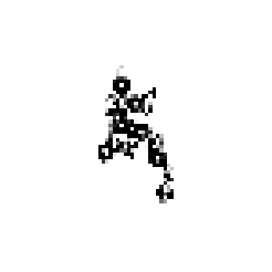 COc1ccc(N(C(=O)c2cc(-c3cc4c(cc3C(=O)N3Cc5ccccc5C[C@H]3CN(C)C(C)C)CN(C(=O)Cc3ccc(OCCN5CCOCC5)cc3F)CC4)n(C)c2C)c2ccc(O)cc2)cc1C#N